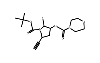 C#CC1CC(OC(=O)N2CCOCC2)C(F)N1C(=O)OC(C)(C)C